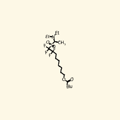 CCN(CC)C(C)S(=O)(=O)C(F)(F)C(F)(F)CCCCCCCOC(=O)C(C)(C)C